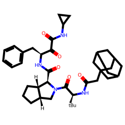 CC(C)(C)[C@H](NC(=O)CC12CC3CC(CC(C3)C1)C2)C(=O)N1C[C@@H]2CCC[C@@H]2[C@H]1C(=O)N[C@@H](Cc1ccccc1)C(=O)C(=O)NC1CC1